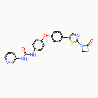 O=C(Nc1ccc(Oc2ccc(-c3cnc(N4CCC4=O)s3)cc2)cc1)Nc1cccnc1